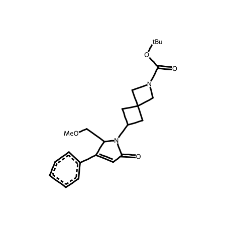 COCC1C(c2ccccc2)=CC(=O)N1C1CC2(C1)CN(C(=O)OC(C)(C)C)C2